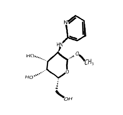 CO[C@@H]1O[C@H](CO)[C@H](O)[C@H](O)[C@H]1Nc1ccccn1